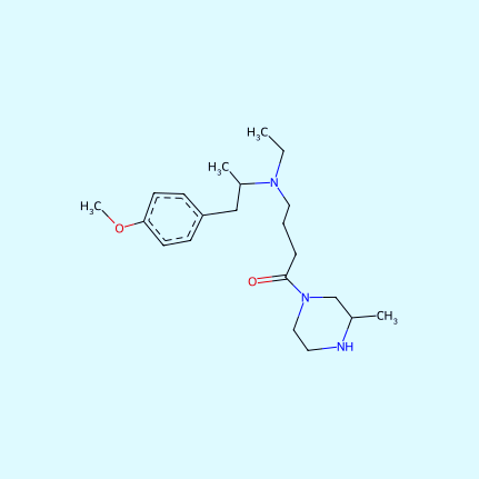 CCN(CCCC(=O)N1CCNC(C)C1)C(C)Cc1ccc(OC)cc1